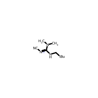 CN(C)/C(=N\C#N)NCC(C)(C)C